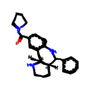 O=C(c1ccc2c(c1)[C@H]1NCCC[C@H]1C(c1ccccc1)N2)N1CCCC1